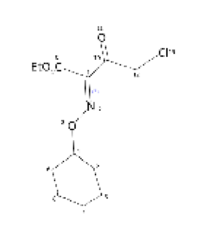 CCOC(=O)/C(=N\OC1CCCCC1)C(=O)CCl